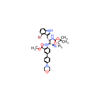 COC(=O)c1cc(-c2ccc(N3CCOCC3)cc2)ccc1N[C@@H](C#N)[C@H](Cc1c[nH]c2cccc(Br)c12)NC(=O)OC(C)(C)C